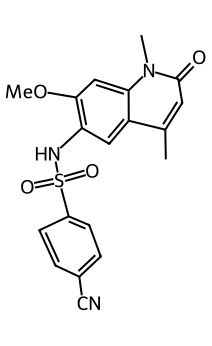 COc1cc2c(cc1NS(=O)(=O)c1ccc(C#N)cc1)c(C)cc(=O)n2C